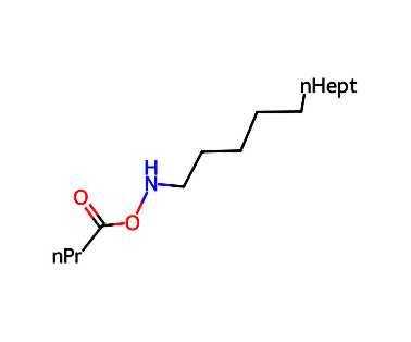 CCCCCCCCCCCCNOC(=O)CCC